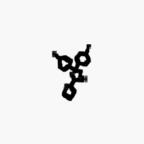 Fc1ccc(C2(c3ccc(F)cc3)CNC(c3cccs3)=N2)cc1